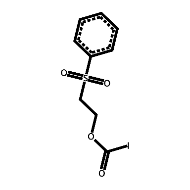 O=C(I)OCCS(=O)(=O)c1ccccc1